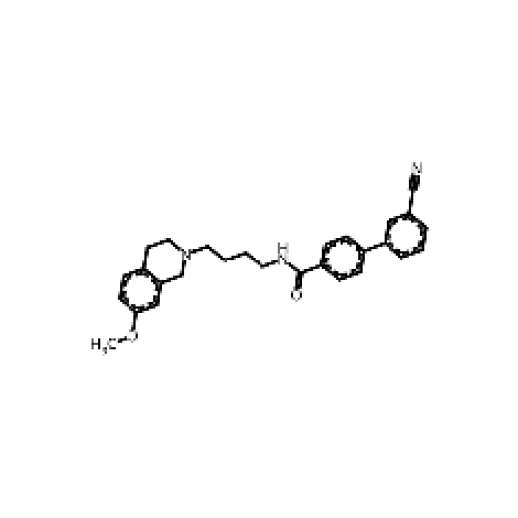 COc1ccc2c(c1)CN(CCCCNC(=O)c1ccc(-c3cccc(C#N)c3)cc1)CC2